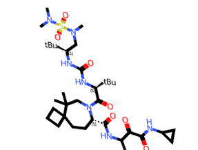 CCCC(NC(=O)[C@@H]1CCC2(CCC2)C(C)(C)CN1C(=O)[C@@H](NC(=O)N[C@H](CN(C)S(=O)(=O)N(C)C)C(C)(C)C)C(C)(C)C)C(=O)C(=O)NC1CC1